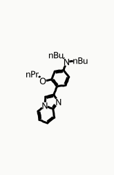 CCCCN(CCCC)c1ccc(-c2cn3ccccc3n2)c(OCCC)c1